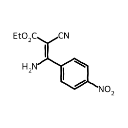 CCOC(=O)/C(C#N)=C(\N)c1ccc([N+](=O)[O-])cc1